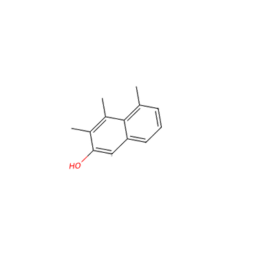 Cc1c(O)[c]c2cccc(C)c2c1C